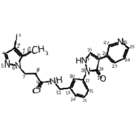 Cc1c(I)cnn1CCC(=O)NCc1cccc(-n2[nH]cc(-c3cccnc3)c2=O)c1